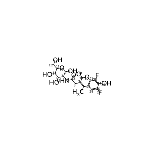 Cc1c(CC(=O)NC2C(O)OC(CO)[C@@H](O)C2O)c(=O)oc2c(F)c(O)c(F)cc12